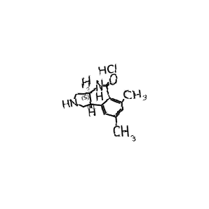 Cc1cc(C)c2c(c1)[C@@H]1CNC[C@H]1NC2=O.Cl